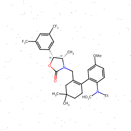 CCN(C(=O)O)c1ccc(OC)cc1C1=C(CN2C(=O)O[C@H](c3cc(C(F)(F)F)cc(C(F)(F)F)c3)[C@@H]2C)CC(C)(C)CC1